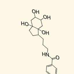 O=C(NCCCC1CCC2(O)CC(O)C(O)CC12O)c1ccccc1